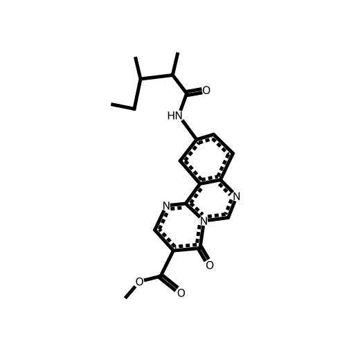 CCC(C)C(C)C(=O)Nc1ccc2ncn3c(=O)c(C(=O)OC)cnc3c2c1